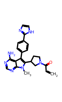 C=CC(=O)N1CCC(c2c(-c3ccc(-c4ncc[nH]4)cc3)c3c(N)ncnc3n2C)C1